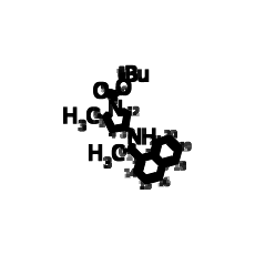 C[C@H](N[C@H]1C[C@H](C)N(C(=O)OC(C)(C)C)C1)c1cccc2ccccc12